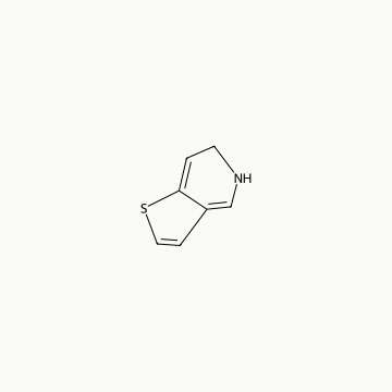 C1=c2ccsc2=CCN1